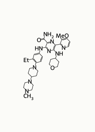 CCc1cc(Nc2nc(NC3CCOCC3)c(-c3ncccc3OC)nc2C(N)=O)ccc1N1CCC(N2CCN(C)CC2)CC1